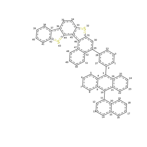 c1cc(-c2c3ccccc3c(-c3cccc4ccccc34)c3ccccc23)cc(-c2cc3sc4ccc5c6ccccc6sc5c4c3c3ccccc23)c1